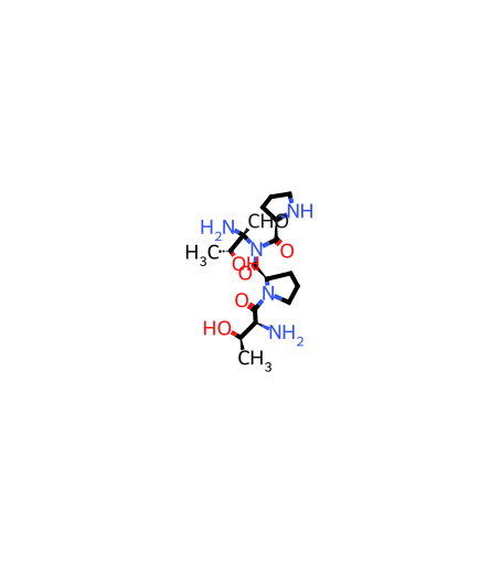 C[C@@H](O)[C@H](N)C(=O)N1CCC[C@@H]1C(=O)N(C(=O)[C@H]1CCCN1)[C@](N)(C=O)[C@@H](C)O